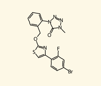 Cn1nnn(-c2ccccc2COc2nc(-c3ccc(Br)cc3F)cs2)c1=O